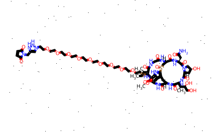 CC[C@H](C)[C@@H]1NC(=O)CNC(=O)[C@@H]2Cc3c([nH]c4c(CSCCOCCOCCOCCOCCOCCOCCOCCOCCOCCN5C=C(CN6C(=O)C=CC6=O)NN5)c(OC)ccc34)[S+]([O-])C[C@H](NC(=O)CNC1=O)C(=O)N[C@@H](CC(N)=O)C(=O)N1C[C@H](O)C[C@H]1C(=O)N[C@@H]([C@@H](C)[C@@H](O)CO)C(=O)N2